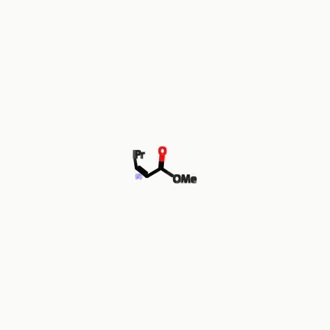 COC(=O)/C=C\C(C)C